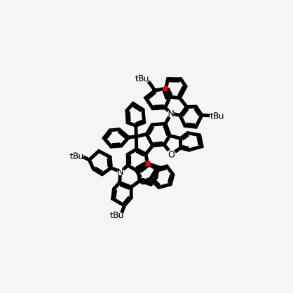 CC(C)(C)c1ccc(N(c2ccc(C(C)(C)C)cc2-c2ccccc2)c2cc3c(c4oc5ccccc5c24)-c2c(cc(N(C4=CCC(C(C)(C)C)C=C4)c4ccc(C(C)(C)C)cc4-c4ccccc4)c4oc5ccccc5c24)C3(c2ccccc2)c2ccccc2)cc1